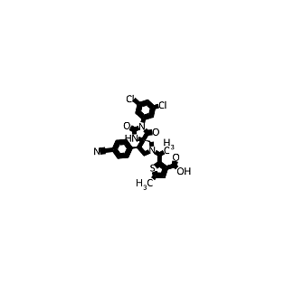 Cc1cc(C(=O)O)c(C(C)N2C[C@@H](c3ccc(C#N)cc3)[C@@]3(C2)NC(=O)N(c2cc(Cl)cc(Cl)c2)C3=O)s1